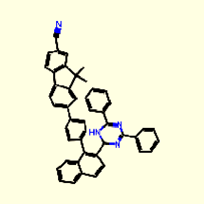 CC1(C)c2cc(C#N)ccc2-c2ccc(-c3ccc(-c4c(C5N=C(c6ccccc6)N=C(c6ccccc6)N5)ccc5ccccc45)cc3)cc21